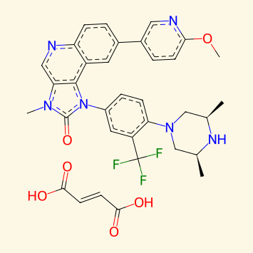 COc1ccc(-c2ccc3ncc4c(c3c2)n(-c2ccc(N3C[C@@H](C)N[C@@H](C)C3)c(C(F)(F)F)c2)c(=O)n4C)cn1.O=C(O)C=CC(=O)O